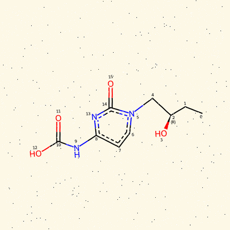 CC[C@@H](O)Cn1ccc(NC(=O)O)nc1=O